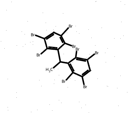 CC(c1c(Br)c(Br)[c]c(Br)c1Br)c1c(Br)c(Br)[c]c(Br)c1Br